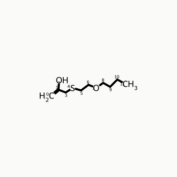 C=C(O)CSCCOCCCC